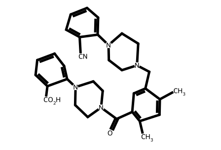 Cc1cc(C)c(C(=O)N2CCN(c3ccccc3C(=O)O)CC2)cc1CN1CCN(c2ccccc2C#N)CC1